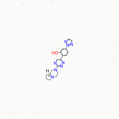 Oc1cc(-n2nccn2)ccc1-c1cnc(N2CCN3CCC[C@H]3C2)nn1